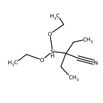 CCO[SiH](OCC)C(C#N)(CC)CC